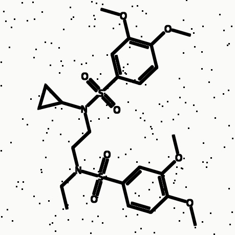 CCN(CCN(C1CC1)S(=O)(=O)c1ccc(OC)c(OC)c1)S(=O)(=O)c1ccc(OC)c(OC)c1